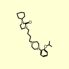 CC(C)Oc1ccccc1N1CCN(CCCCN2CCN(C3CCCCC3)C2=O)CC1